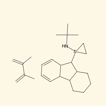 C=C(C)C(=C)C.CC(C)(C)[NH][Ti]1([CH]2C3C=CC=CC3C3CCCCC32)[CH2][CH2]1